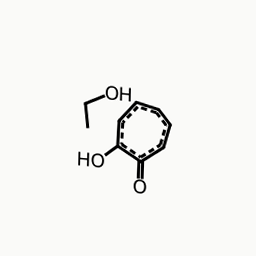 CCO.O=c1cccccc1O